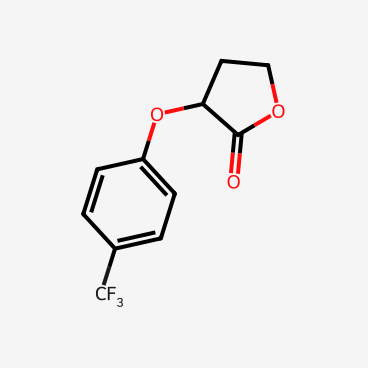 O=C1OCCC1Oc1ccc(C(F)(F)F)cc1